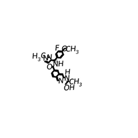 COc1ccc([C@@H](NC(=O)c2ccc3cnc(N[C@@H](C)CO)cc3c2)c2ccn(C)n2)cc1F